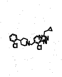 Clc1ccccc1C1CCN(Cc2ccn3c(CC4CC4)nnc3c2Cl)CC1